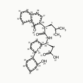 CC(C)C[C@@H](C(=O)N[C@@H](CC(=O)O)c1cccc(-c2ccccc2O)c1)n1cnc2ccccc2c1=O